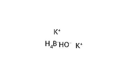 [BH4-].[K+].[K+].[OH-]